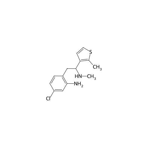 CNC(Cc1ccc(Cl)cc1N)c1ccsc1C